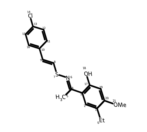 CCc1cc(/C(C)=N/S/C=C/c2ccc(Cl)cc2)c(O)cc1OC